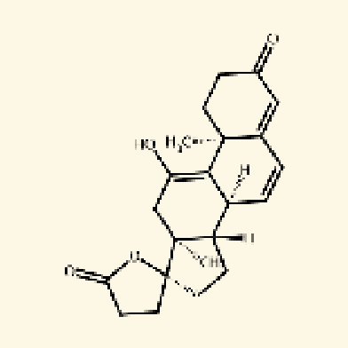 C[C@]12CCC(=O)C=C1C=C[C@@H]1C2=C(O)C[C@@]2(C)[C@H]1CC[C@@]21CCC(=O)O1